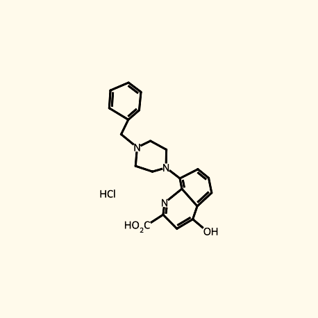 Cl.O=C(O)c1cc(O)c2cccc(N3CCN(Cc4ccccc4)CC3)c2n1